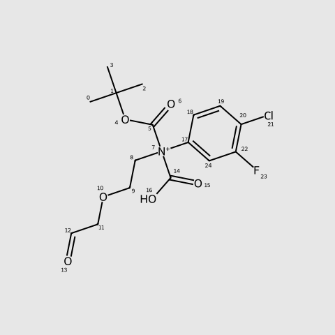 CC(C)(C)OC(=O)[N+](CCOCC=O)(C(=O)O)c1ccc(Cl)c(F)c1